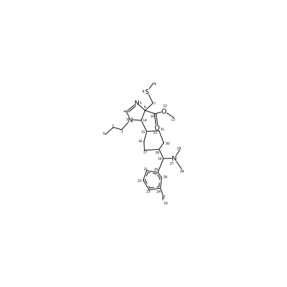 CCCN1C=NC(CSC)(C(=O)OC)C1C1CCC(C(c2cccc(F)c2)N(C)C)CC1